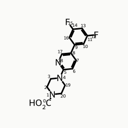 O=C(O)N1CCN(c2ccc(-c3cc(F)cc(F)c3)cn2)CC1